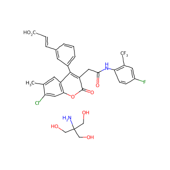 Cc1cc2c(-c3cccc(/C=C/C(=O)O)c3)c(CC(=O)Nc3ccc(F)cc3C(F)(F)F)c(=O)oc2cc1Cl.NC(CO)(CO)CO